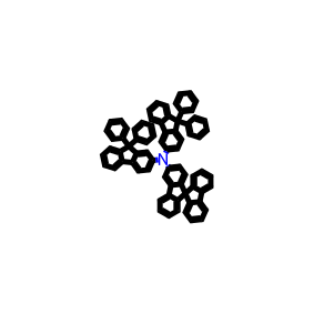 c1ccc(C2(c3ccccc3)c3ccccc3-c3cc(N(c4ccc5c(c4)-c4ccccc4C54c5ccccc5-c5ccccc54)c4ccc5c(c4)C(c4ccccc4)(c4ccccc4)c4ccccc4-5)ccc32)cc1